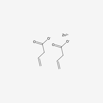 C=CCC(=O)[O-].C=CCC(=O)[O-].[Zn+2]